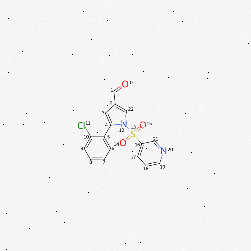 O=Cc1cc(-c2ccccc2Cl)n(S(=O)(=O)c2cccnc2)c1